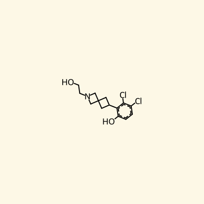 OCCN1CC2(CC(c3c(O)ccc(Cl)c3Cl)C2)C1